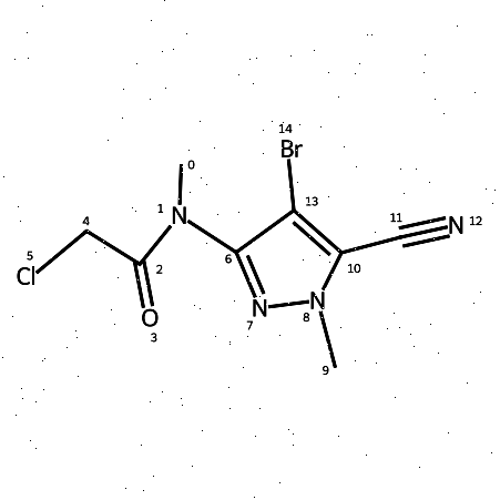 CN(C(=O)CCl)c1nn(C)c(C#N)c1Br